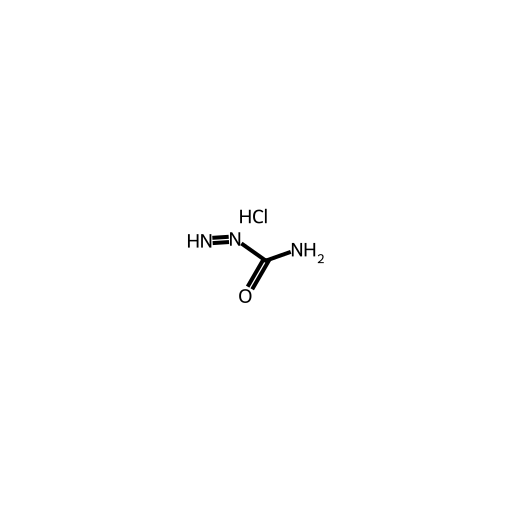 Cl.N=NC(N)=O